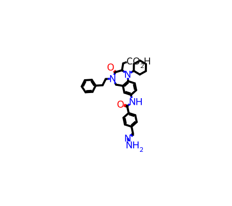 NN=Cc1ccc(C(=O)Nc2ccc3c(c2)CN(CCc2ccccc2)C(=O)C(CC(=O)O)N3C2CCCCC2)cc1